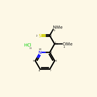 CNC(=S)C(OC)c1ccccn1.Cl